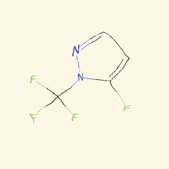 Fc1ccnn1C(F)(F)F